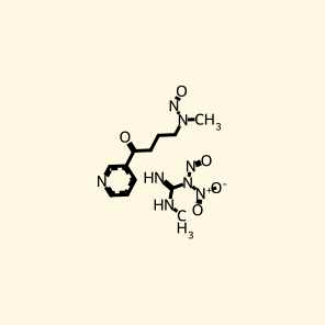 CN(CCCC(=O)c1cccnc1)N=O.CNC(=N)N(N=O)[N+](=O)[O-]